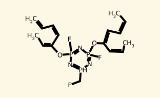 C=C/C=C\C(=C/C)OP1(F)=NP(F)(OC(/C=C\C)=C/C=C\C)=N[PH](CF)=N1